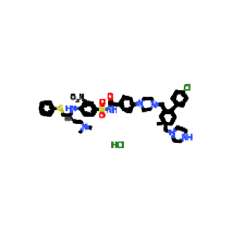 CN(C)CC[C@H](CSc1ccccc1)Nc1ccc(S(=O)(=O)NC(=O)c2ccc(N3CCN(CC4=C(c5ccc(Cl)cc5)CCC(C)(CN5CCNCC5)C4)CC3)cc2)cc1[N+](=O)[O-].Cl